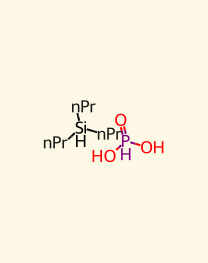 CCC[SiH](CCC)CCC.O=[PH](O)O